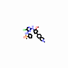 COc1cc(C2CCC3(CC2)CCN(C)CC3)ccc1Nc1ncc(Cl)c(Nc2ccccc2P(C)(C)=O)n1